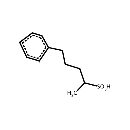 CC(CCCc1[c]cccc1)S(=O)(=O)O